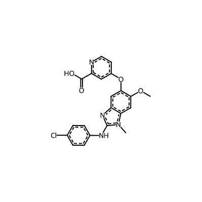 COc1cc2c(cc1Oc1ccnc(C(=O)O)c1)nc(Nc1ccc(Cl)cc1)n2C